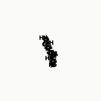 O=C(NC1CCNCC1)c1ccc(-c2ccc3c(Nc4ccc5scnc5c4)ccnc3c2)cc1